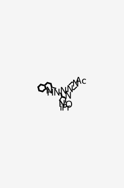 CC(=O)N1CCN(c2nc(NCc3ccc4ccccc4n3)c3c(n2)C(=O)N(C(C)C)C3)CC1